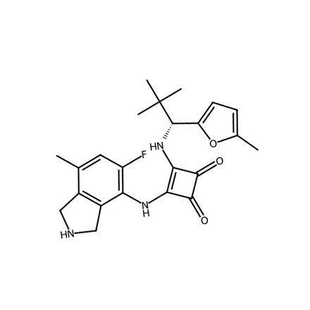 Cc1ccc([C@H](Nc2c(Nc3c(F)cc(C)c4c3CNC4)c(=O)c2=O)C(C)(C)C)o1